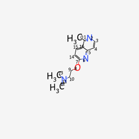 Cc1nccc2nc(OCCN(C)C)ccc12